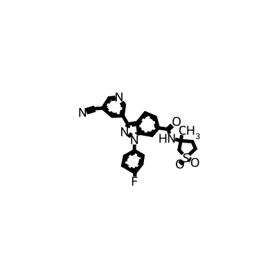 CC1(NC(=O)c2ccc3c(-c4cncc(C#N)c4)nn(-c4ccc(F)cc4)c3c2)CCS(=O)(=O)C1